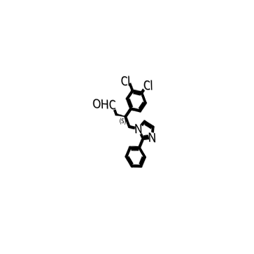 O=CC[C@H](Cn1ccnc1-c1ccccc1)c1ccc(Cl)c(Cl)c1